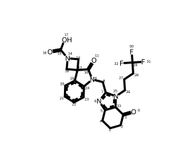 O=C1CCCc2nc(CN3C(=O)C4(CN(C(=O)O)C4)c4ccccc43)n(CCCC(F)(F)F)c21